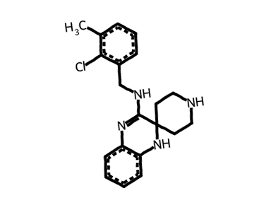 Cc1cccc(CNC2=Nc3ccccc3NC23CCNCC3)c1Cl